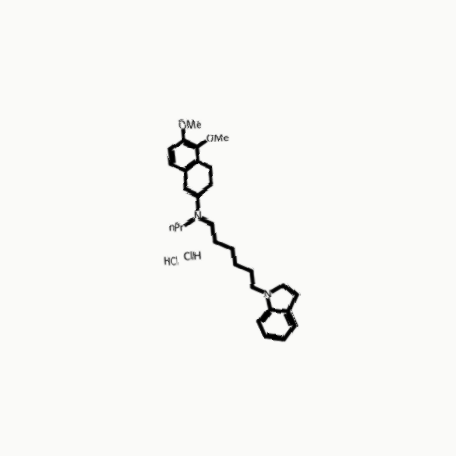 CCCN(CCCCCCN1CCc2ccccc21)C1CCc2c(ccc(OC)c2OC)C1.Cl.Cl